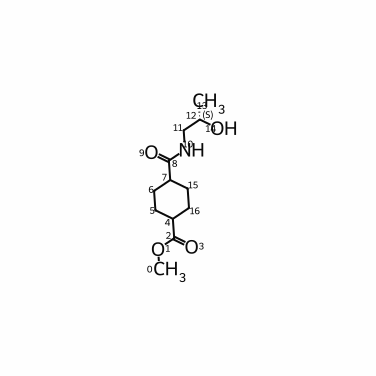 COC(=O)C1CCC(C(=O)NC[C@H](C)O)CC1